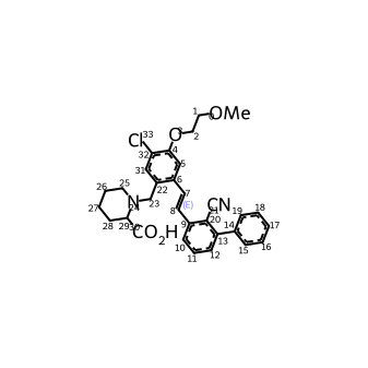 COCCOc1cc(/C=C/c2cccc(-c3ccccc3)c2C#N)c(CN2CCCCC2C(=O)O)cc1Cl